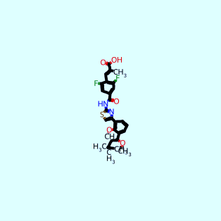 COc1c(-c2csc(NC(=O)c3cc(F)c(C=C(C)C(=O)O)c(F)c3)n2)cccc1C(CC(C)(C)C)OC